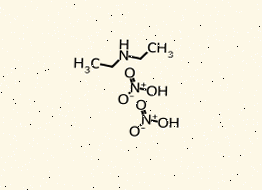 CCNCC.O=[N+]([O-])O.O=[N+]([O-])O